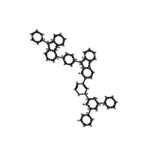 C1=NC(c2ccc3c4ccccc4n(-c4ccc(-c5cccc6c5c5ccccc5n6-c5ccccc5)cc4)c3c2)=CC(c2nc(-c3ccccc3)nc(-c3ccccc3)n2)C1